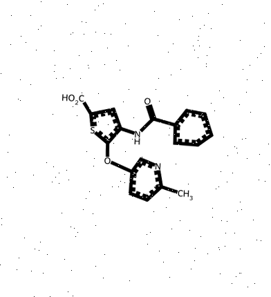 Cc1ccc(Oc2sc(C(=O)O)cc2NC(=O)c2ccccc2)cn1